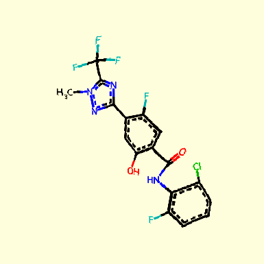 Cn1nc(-c2cc(O)c(C(=O)Nc3c(F)cccc3Cl)cc2F)nc1C(F)(F)F